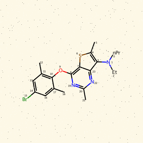 CCCN(CC)c1c(C)sc2c(Oc3c(C)cc(Br)cc3C)nc(C)nc12